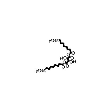 CCCCCCCCCCCCCCCCCC(=O)OC(=O)C(O)C(O)C(=O)OC(=O)CCCCCCCCCCCCCCCCC